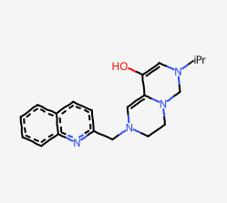 CC(C)N1C=C(O)C2=CN(Cc3ccc4ccccc4n3)CCN2C1